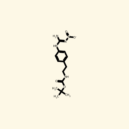 CC(C)(C)OC(=O)NCCc1ccc(NC(N)=N[N+](=O)[O-])cc1